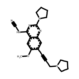 COc1cc2c(NC#N)nc(N3CCCC3)nc2cc1C#CCN1CCCC1